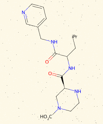 CC(C)CC(NC(=O)[C@@H]1CN(C(=O)O)CCN1)C(=O)NCc1cccnc1